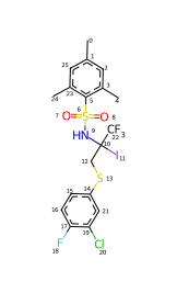 Cc1cc(C)c(S(=O)(=O)NC(I)(CSc2ccc(F)c(Cl)c2)C(F)(F)F)c(C)c1